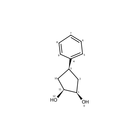 O[C@@H]1C[C@H](c2ccccc2)C[C@@H]1O